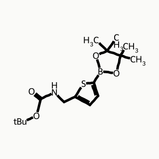 CC(C)(C)OC(=O)NCc1ccc(B2OC(C)(C)C(C)(C)O2)s1